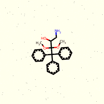 COC(OC)(C(O)CN)C(c1ccccc1)(c1ccccc1)c1ccccc1